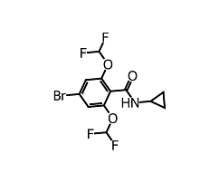 O=C(NC1CC1)c1c(OC(F)F)cc(Br)cc1OC(F)F